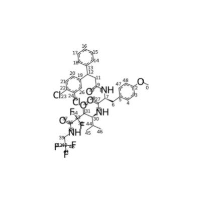 COc1ccc(C[C@H](NC(=O)CC(c2ccccc2)c2ccc(Cl)c(Cl)c2)C(=O)N[C@H](C(=O)C(F)(F)C(=O)NCC(F)(F)F)C(C)C)cc1